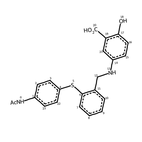 CC(=O)Nc1ccc(Sc2ccccc2CNc2ccc(O)c(C(=O)O)c2)cc1